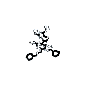 CSc1nc(SC)c2ncc(C3(OC(C)=O)O[C@H](COCc4ccccc4)[C@@H](OCc4ccccc4)[C@@]3(C)F)n2n1